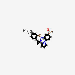 C[S+]([O-])c1ccc(-n2cccc2)c(NSc2cc(C(=O)O)ccc2C2CC2)c1